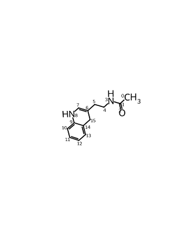 CC(=O)NCCC1=CNc2ccccc2C1